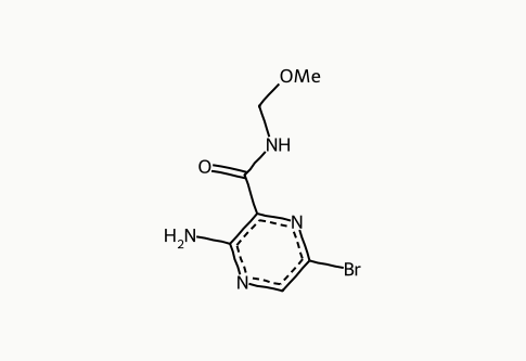 COCNC(=O)c1nc(Br)cnc1N